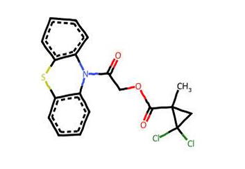 CC1(C(=O)OCC(=O)N2c3ccccc3Sc3ccccc32)CC1(Cl)Cl